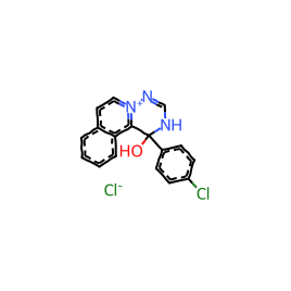 OC1(c2ccc(Cl)cc2)NC=N[n+]2ccc3ccccc3c21.[Cl-]